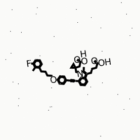 Cc1c(F)cccc1CCCCOc1ccc(C#Cc2cccc3c(CCCC(=O)O)c(C)n(CC4(CC(=O)O)CC4)c23)cc1